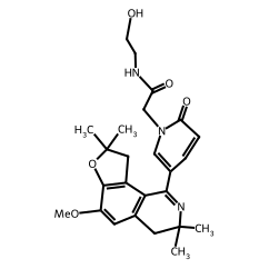 COc1cc2c(c3c1OC(C)(C)C3)C(c1ccc(=O)n(CC(=O)NCCO)c1)=NC(C)(C)C2